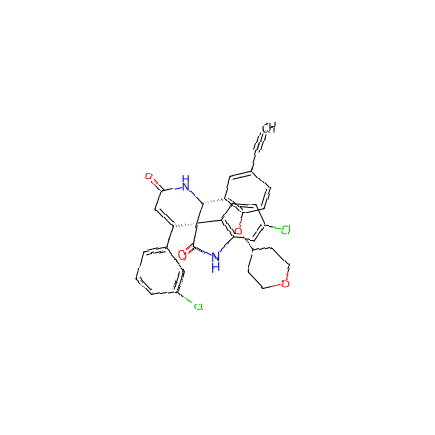 C#Cc1ccc(OC2CCOCC2)c([C@H]2NC(=O)C=C(c3cccc(Cl)c3)[C@]23C(=O)Nc2cc(Cl)ccc23)c1